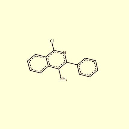 Nc1c(-c2ccccc2)nc(Cl)c2ccccc12